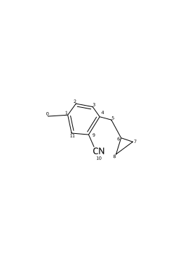 Cc1ccc(CC2CC2)c(C#N)c1